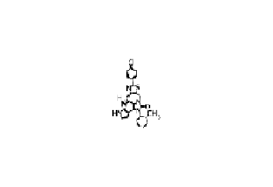 Cc1nc(-c2ccc(Cl)cc2)sc1Cn1c(=O)n([C@H]2CCCC[C@H]2C)c2c3cc[nH]c3ncc21